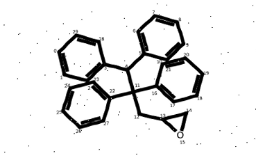 c1ccc(C(c2ccccc2)C(CC2CO2)(c2ccccc2)c2ccccc2)cc1